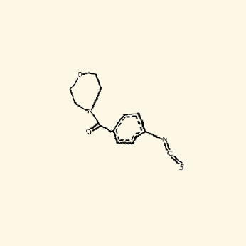 O=C(c1ccc(N=C=S)cc1)N1CCOCC1